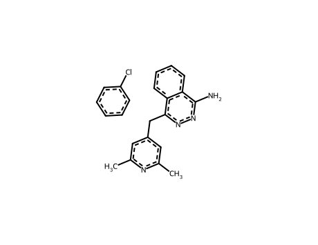 Cc1cc(Cc2nnc(N)c3ccccc23)cc(C)n1.Clc1ccccc1